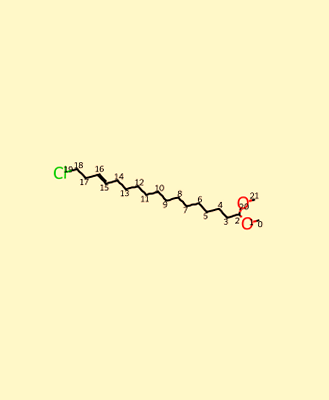 COC(CCCCCCCCCCCC/C=C/CCCl)OC